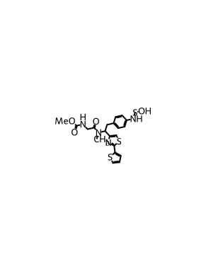 COC(=O)NCC(=O)N(C)C(Cc1ccc(NSO)cc1)c1csc(-c2cccs2)n1